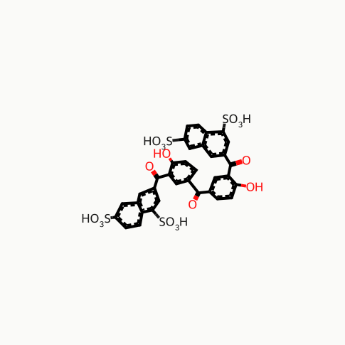 O=C(c1ccc(O)c(C(=O)c2cc(S(=O)(=O)O)c3ccc(S(=O)(=O)O)cc3c2)c1)c1ccc(O)c(C(=O)c2cc(S(=O)(=O)O)c3ccc(S(=O)(=O)O)cc3c2)c1